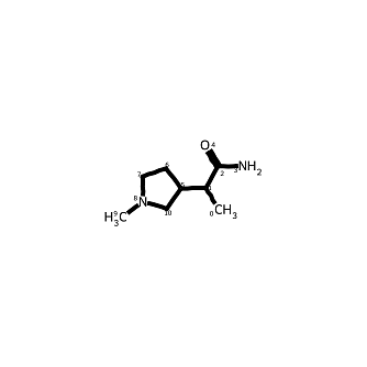 CC(C(N)=O)C1CCN(C)C1